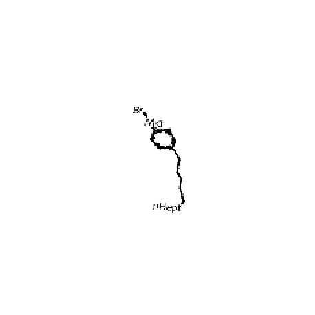 CCCCCCCCCCCCc1cc[c]([Mg][Br])cc1